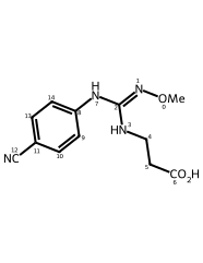 CON=C(NCCC(=O)O)Nc1ccc(C#N)cc1